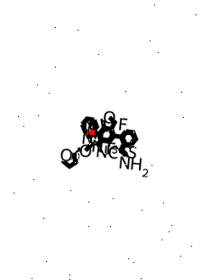 CN1CC2CC(C1)N2c1nc(OC[C@H]2CCCO2)nc2c(F)c(-c3c(F)ccc4sc(N)c(C#N)c34)c3c(c12)COC3